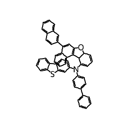 C1=CC2Oc3cc(-c4ccc5ccccc5c4)c4ccccc4c3C2C(N(c2ccc(-c3ccccc3)cc2)c2ccc3c(c2)sc2ccccc23)=C1